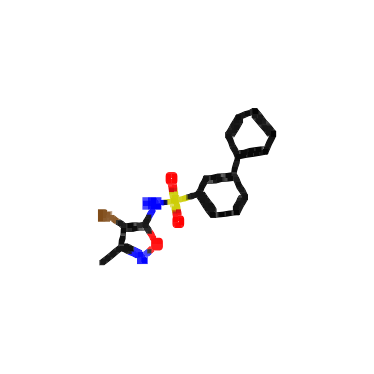 Cc1noc(NS(=O)(=O)c2cccc(-c3ccccc3)c2)c1Br